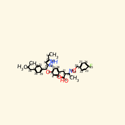 CCc1cc(C(Oc2ccc(CC(C(=O)O)C(C)=NOCc3ccc(F)cc3)cc2)c2ccc(CC(C)C)cc2)n[nH]1